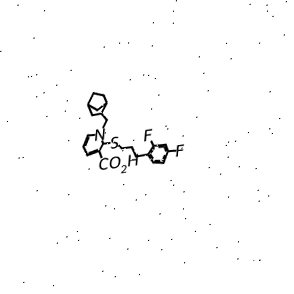 O=C(O)C1=CC=CN(CC2CC3CCC2C3)C1SCCCc1ccc(F)cc1F